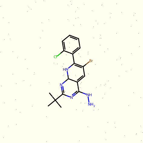 CC(C)(C)C1=NC2NC(c3ccccc3Cl)=C(Br)C=C2C(NN)=N1